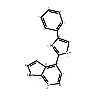 c1ccc(-c2c[nH]c(-c3ccnc4[nH]ccc34)n2)cc1